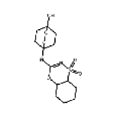 O=S1(=O)N=C(NC23CCC(O)(CC2)CC3)OC2CCCCC21